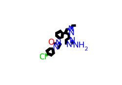 CCn1cc(-c2cccc(N3CCN(c4ccc(Cl)cc4)C3=O)c2)c(-c2ccnc(N)n2)n1